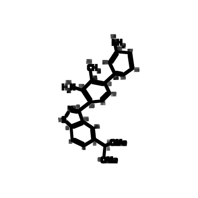 COC(OC)c1ccc2snc(-c3ccc(-c4cccc(N)c4)c(C)c3N)c2c1